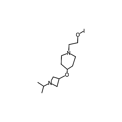 CC(C)N1CC(OC2CCN(CCOI)CC2)C1